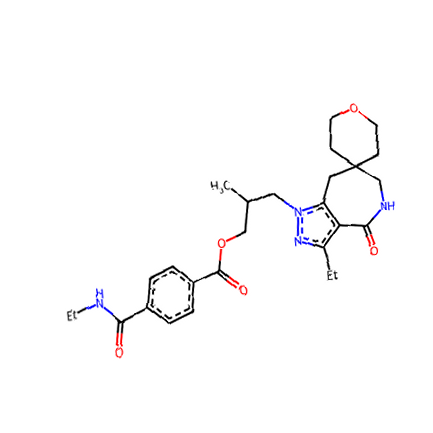 CCNC(=O)c1ccc(C(=O)OCC(C)Cn2nc(CC)c3c2CC2(CCOCC2)CNC3=O)cc1